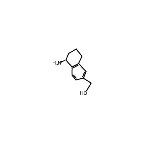 N[C@H]1CCCc2cc(CO)ccc21